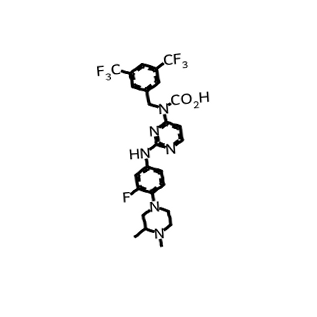 CC1CN(c2ccc(Nc3nccc(N(Cc4cc(C(F)(F)F)cc(C(F)(F)F)c4)C(=O)O)n3)cc2F)CCN1C